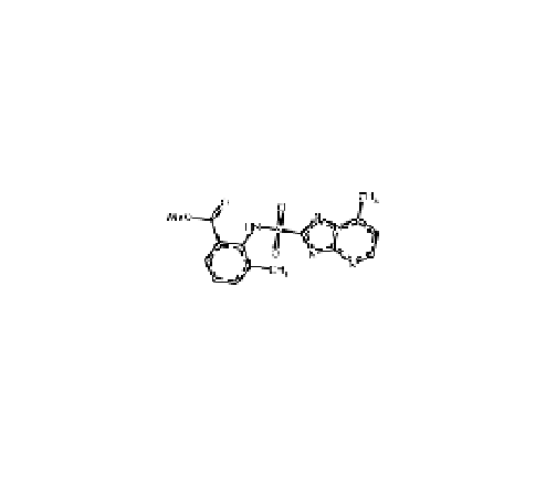 COC(=O)c1cccc(C)c1NS(=O)(=O)c1nc2nccc(C)n2n1